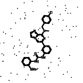 CSc1ccccc1NC(=O)Nc1cccc(-c2cn3ccnc3c(N(C)Cc3ccc(Cl)cc3)n2)c1